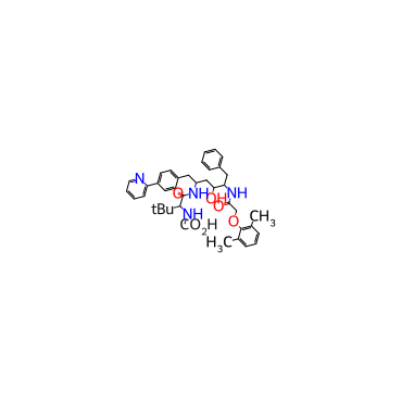 Cc1cccc(C)c1OCC(=O)NC(Cc1ccccc1)C(O)CC(Cc1ccc(-c2ccccn2)cc1)NC(=O)C(NC(=O)O)C(C)(C)C